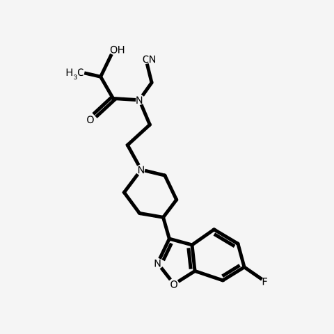 CC(O)C(=O)N(CC#N)CCN1CCC(c2noc3cc(F)ccc23)CC1